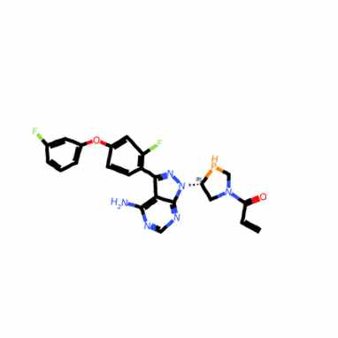 C=CC(=O)N1CP[C@@H](n2nc(-c3ccc(Oc4cccc(F)c4)cc3F)c3c(N)ncnc32)C1